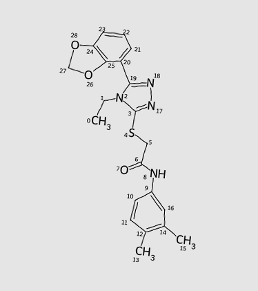 CCn1c(SCC(=O)Nc2ccc(C)c(C)c2)nnc1-c1cccc2c1OCO2